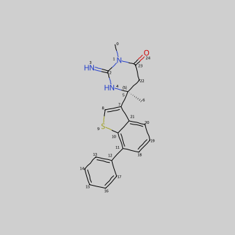 CN1C(=N)N[C@](C)(c2csc3c(-c4ccccc4)cccc23)CC1=O